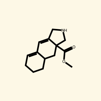 COC(=O)C12CNCC1=CC1=CCCCC1C2